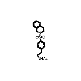 CC(=O)NCCc1ccc(S(=O)(=O)N2CCc3ccccc3C2)cc1